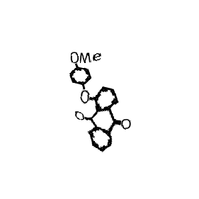 COc1ccc(Oc2cccc3c2C(=O)c2ccccc2C3=O)cc1